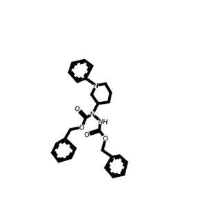 O=C(NN(C(=O)OCc1ccccc1)C1CCCN(c2ccccc2)C1)OCc1ccccc1